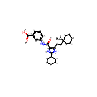 CC1(CCc2[nH]c(C3CCCCC3)nc2C(=O)Nc2cccc(C(=O)O)c2)CCCCC1